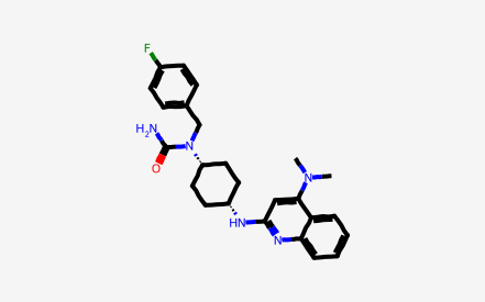 CN(C)c1cc(N[C@H]2CC[C@@H](N(Cc3ccc(F)cc3)C(N)=O)CC2)nc2ccccc12